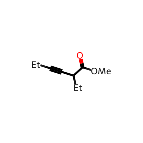 CCC#CC(CC)C(=O)OC